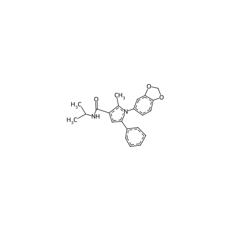 Cc1c(C(=O)NC(C)C)cc(-c2ccccc2)n1-c1ccc2c(c1)OCO2